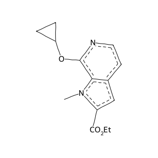 CCOC(=O)c1cc2ccnc(OC3CC3)c2n1C